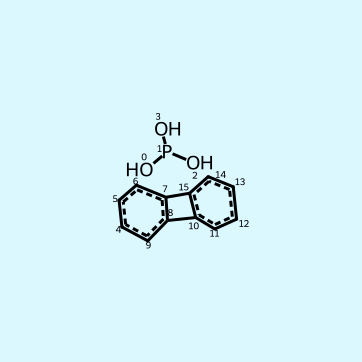 OP(O)O.c1ccc2c(c1)-c1ccccc1-2